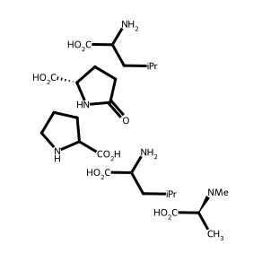 CC(C)CC(N)C(=O)O.CC(C)CC(N)C(=O)O.CN[C@@H](C)C(=O)O.O=C(O)C1CCCN1.O=C1CC[C@@H](C(=O)O)N1